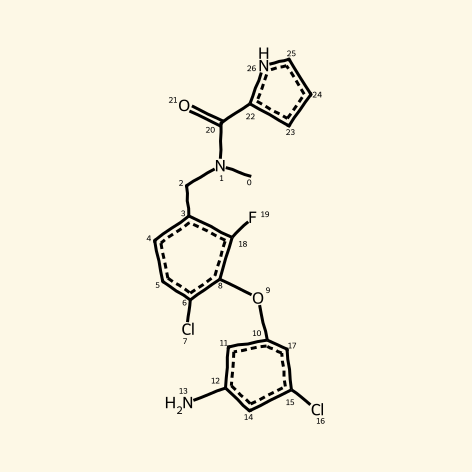 CN(Cc1ccc(Cl)c(Oc2cc(N)cc(Cl)c2)c1F)C(=O)c1ccc[nH]1